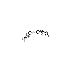 O=C(Cc1ccc(F)cc1)N[C@H]1CC[C@H](CCN2CCc3sc(N4CC(F)(F)C4)nc3C2)CC1